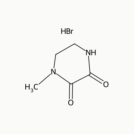 Br.CN1CCNC(=O)C1=O